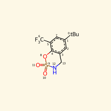 CC(C)(C)c1cc2c(c(C(F)(F)F)c1)OS(=O)(=O)NC2